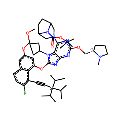 COCOc1cc(Oc2nc3nc(OC[C@@H]4CCCN4C)nc(N4CC5CCC(C4)N5C(=O)OC(C)(C)C)c3n2C2CCC2)c2c(C#C[Si](C(C)C)(C(C)C)C(C)C)c(F)ccc2c1